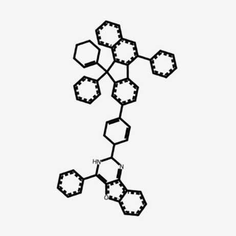 C1=CC(C2N=c3c(oc4ccccc34)=C(c3ccccc3)N2)CC=C1c1ccc2c(c1)C(C1=CCCCC1)(c1ccccc1)c1c-2c(-c2ccccc2)cc2ccccc12